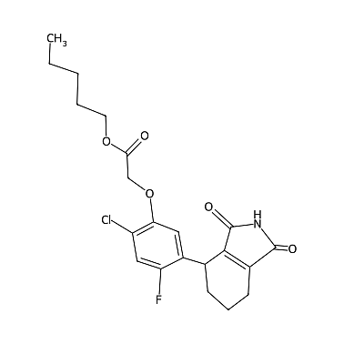 CCCCCOC(=O)COc1cc(C2CCCC3=C2C(=O)NC3=O)c(F)cc1Cl